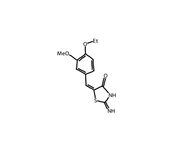 CCOc1ccc(/C=C2/SC(=N)NC2=O)cc1OC